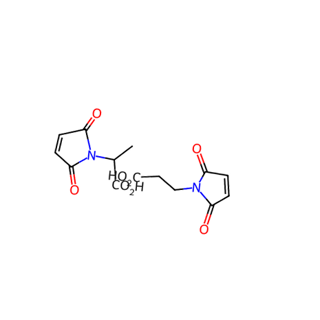 CC(C(=O)O)N1C(=O)C=CC1=O.O=C(O)CCN1C(=O)C=CC1=O